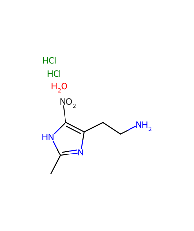 Cc1nc(CCN)c([N+](=O)[O-])[nH]1.Cl.Cl.O